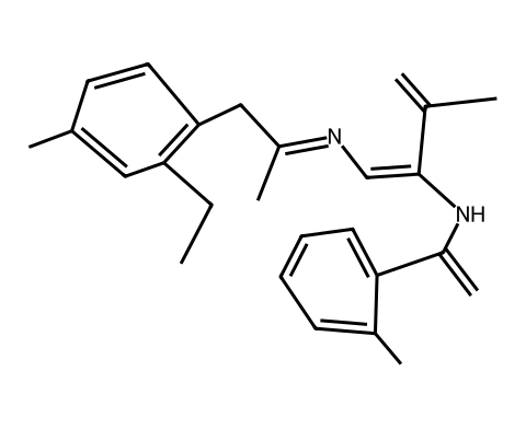 C=C(C)/C(=C\N=C(/C)Cc1ccc(C)cc1CC)NC(=C)c1ccccc1C